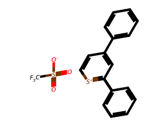 O=S(=O)([O-])C(F)(F)F.c1ccc(-c2cc[s+]c(-c3ccccc3)c2)cc1